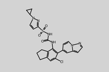 O=C(Nc1c2c(cc(Cl)c1-c1ccn3nccc3c1)CCC2)NS(=O)(=O)c1ccn(C2CC2)n1